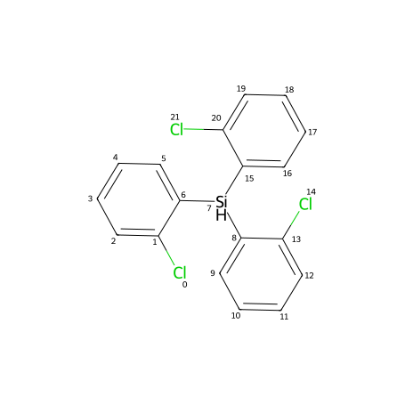 Clc1ccccc1[SiH](c1ccccc1Cl)c1ccccc1Cl